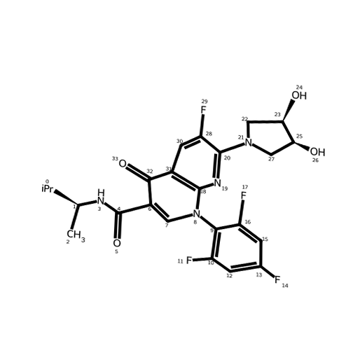 CC(C)[C@H](C)NC(=O)c1cn(-c2c(F)cc(F)cc2F)c2nc(N3C[C@@H](O)[C@@H](O)C3)c(F)cc2c1=O